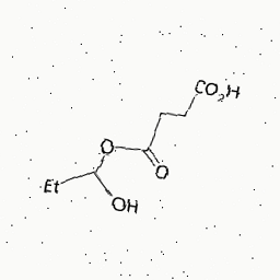 CCC(O)OC(=O)CCC(=O)O